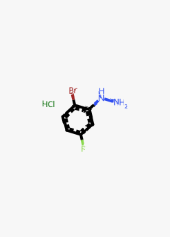 Cl.NNc1cc(F)ccc1Br